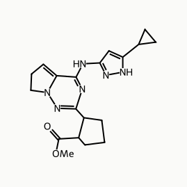 COC(=O)C1CCCC1C1=NN2CCC=C2C(Nc2cc(C3CC3)[nH]n2)=N1